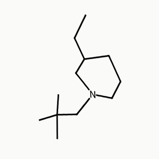 CCC1CCCN(CC(C)(C)C)C1